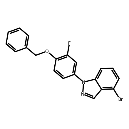 Fc1cc(-n2ncc3c(Br)cccc32)ccc1OCc1ccccc1